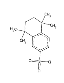 CC1(C)CCC(C)(C)c2cc(S(=O)(=O)Cl)ccc21